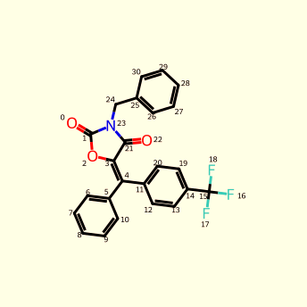 O=C1O/C(=C(\c2ccccc2)c2ccc(C(F)(F)F)cc2)C(=O)N1Cc1ccccc1